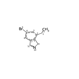 CCc1cc(Br)cc2c1CN=C2